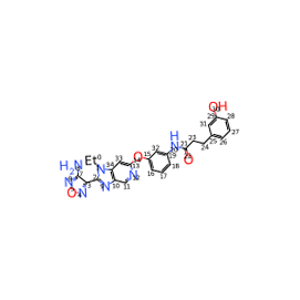 CCn1c(-c2nonc2N)nc2cnc(Oc3cccc(NC(=O)CCc4cccc(O)c4)c3)cc21